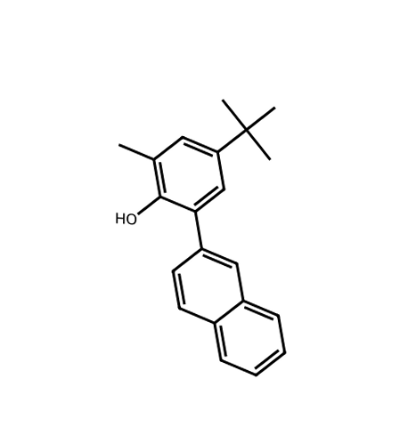 Cc1cc(C(C)(C)C)cc(-c2ccc3ccccc3c2)c1O